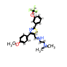 COc1ccc(-c2nc(-c3cccc(OC(F)(F)F)c3)sc2CNCCN(C)C)cc1